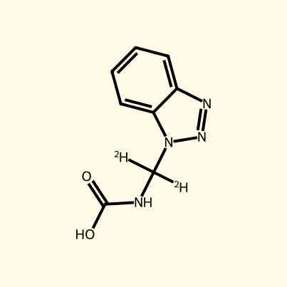 [2H]C([2H])(NC(=O)O)n1nnc2ccccc21